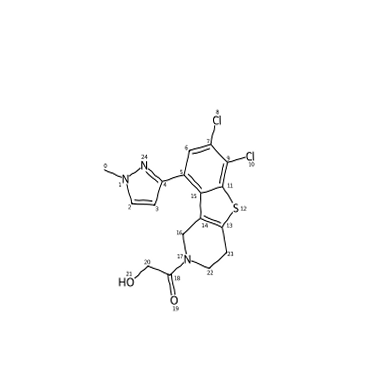 Cn1ccc(-c2cc(Cl)c(Cl)c3sc4c(c23)CN(C(=O)CO)CC4)n1